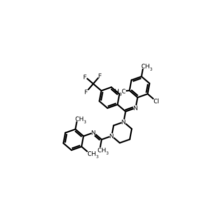 C/C(=N\c1c(C)cccc1C)N1CCCN(/C(=N/c2c(C)cc(C)cc2Cl)c2ccc(C(F)(F)F)cc2)C1